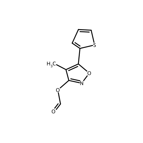 Cc1c(OC=O)noc1-c1cccs1